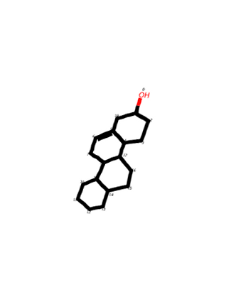 OC1CCC2C(=CCC3C4CCCCC4CCC23)C1